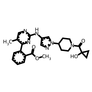 COC(=O)c1ccccc1-c1nc(Nc2cnn(C3CCN(C(=O)C4(O)CC4)CC3)c2)ncc1C